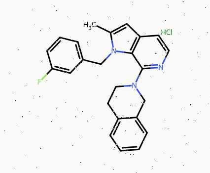 Cc1cc2ccnc(N3CCc4ccccc4C3)c2n1Cc1cccc(F)c1.Cl